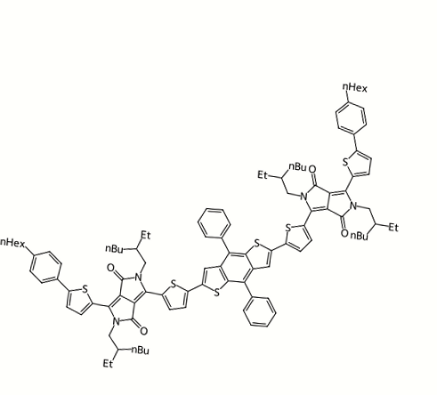 CCCCCCc1ccc(-c2ccc(C3=C4C(=O)N(CC(CC)CCCC)C(c5ccc(-c6cc7c(-c8ccccc8)c8sc(-c9ccc(C%10=C%11C(=O)N(CC(CC)CCCC)C(c%12ccc(-c%13ccc(CCCCCC)cc%13)s%12)=C%11C(=O)N%10CC(CC)CCCC)s9)cc8c(-c8ccccc8)c7s6)s5)=C4C(=O)N3CC(CC)CCCC)s2)cc1